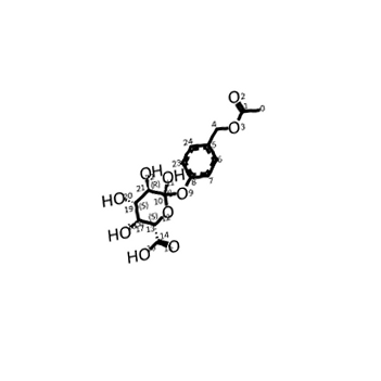 CC(=O)OCc1ccc(O[C@]2(O)O[C@H](C(=O)O)[C@@H](O)[C@H](O)[C@H]2O)cc1